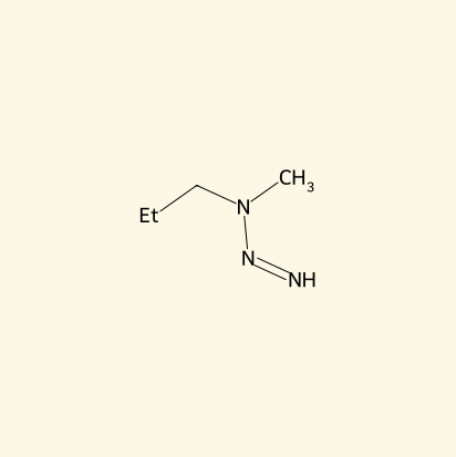 CCCN(C)N=N